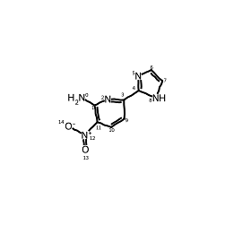 Nc1nc(-c2ncc[nH]2)ccc1[N+](=O)[O-]